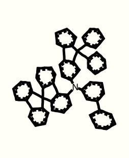 c1ccc(-c2cccc(N(c3ccc4c(c3)C(c3ccccc3)(c3ccccc3)c3ccccc3-4)c3cccc4c3-c3ccccc3C43c4ccccc4-c4ccccc43)c2)cc1